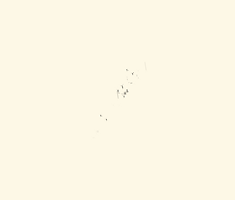 Cc1nc(Cl)ccc1S(=O)(=O)N1CCC2(CC1)CC(N1CC3(COC3)C1)C2